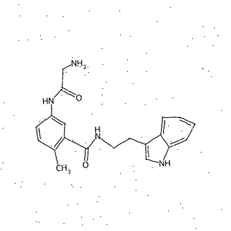 Cc1ccc(NC(=O)CN)cc1C(=O)NCCc1c[nH]c2ccccc12